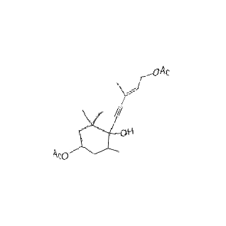 CC(=O)OC/C=C(\C)C#CC1(O)C(C)CC(OC(C)=O)CC1(C)C